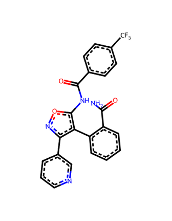 NC(=O)c1ccccc1-c1c(-c2cccnc2)noc1NC(=O)c1ccc(C(F)(F)F)cc1